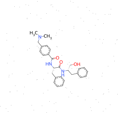 CN(C)Cc1ccc(C(=O)N[C@@H](Cc2ccccc2)C(=O)N[C@H](CO)Cc2ccccc2)cc1